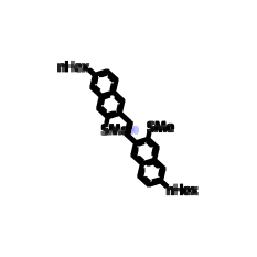 CCCCCCc1ccc2cc(/C=C/c3cc4ccc(CCCCCC)cc4cc3SC)c(SC)cc2c1